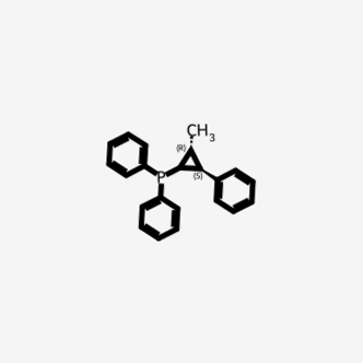 C[C@H]1C(P(c2ccccc2)c2ccccc2)[C@@H]1c1ccccc1